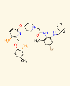 Cc1ccc(OCc2nc(OC3CCN(CC(=O)Nc4c(C)cc(Br)cc4NCC4(CC#N)CC4)CC3)ccc2P)c(P)c1